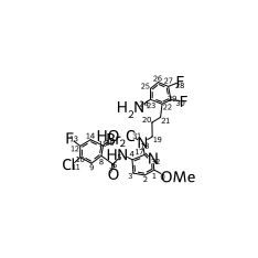 COc1ccc(NC(=O)c2cc(Cl)c(F)cc2Br)c(N(CCCc2c(N)ccc(F)c2F)C(=O)O)n1